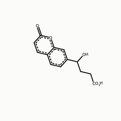 O=C(O)CCC(O)c1ccc2ccc(=O)oc2c1